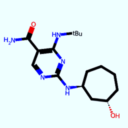 CC(C)(C)Nc1nc(N[C@H]2CCCC[C@H](O)C2)ncc1C(N)=O